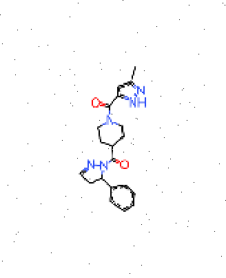 Cc1cc(C(=O)N2CCC(C(=O)N3N=CCC3c3ccccc3)CC2)[nH]n1